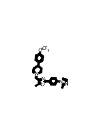 Cc1oc(-c2ccc(-n3ccnc3C)cc2)nc1CN1CCC(c2ccc(OC(F)(F)F)cc2)CC1